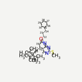 CSc1ncc2c(C#C[Si](C(C)C)(C(C)C)C(C)C)cc(OCCCc3ccccc3)nc2n1